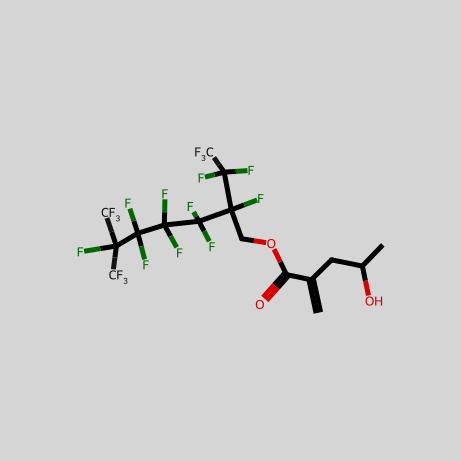 C=C(CC(C)O)C(=O)OCC(F)(C(F)(F)C(F)(F)F)C(F)(F)C(F)(F)C(F)(F)C(F)(C(F)(F)F)C(F)(F)F